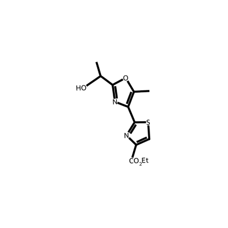 CCOC(=O)c1csc(-c2nc(C(C)O)oc2C)n1